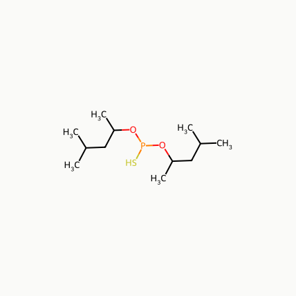 CC(C)CC(C)OP(S)OC(C)CC(C)C